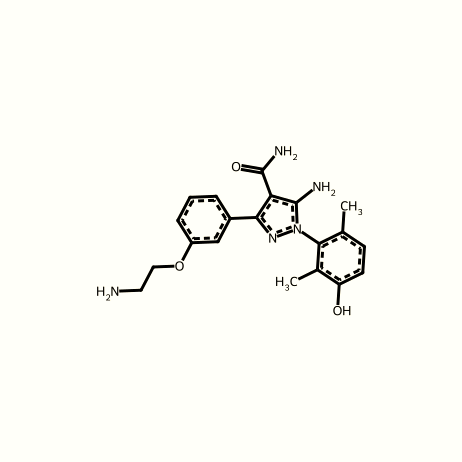 Cc1ccc(O)c(C)c1-n1nc(-c2cccc(OCCN)c2)c(C(N)=O)c1N